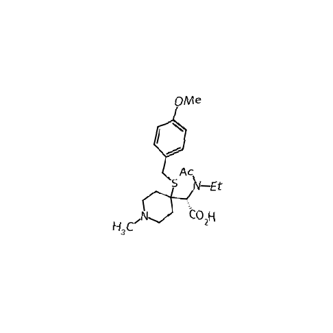 CCN(C(C)=O)[C@H](C(=O)O)C1(SCc2ccc(OC)cc2)CCN(C)CC1